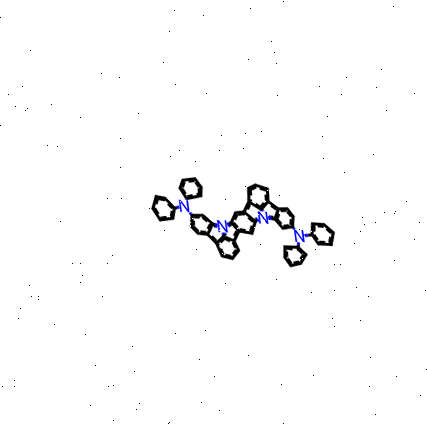 c1ccc(N(c2ccccc2)c2ccc3c4cccc5c6cc7c(cc6n(c3c2)c45)c2cccc3c4ccc(N(c5ccccc5)c5ccccc5)cc4n7c32)cc1